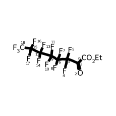 CCOC(=O)C(=O)C(F)(F)C(F)(F)C(F)(F)C(F)(F)C(F)(F)C(F)(F)F